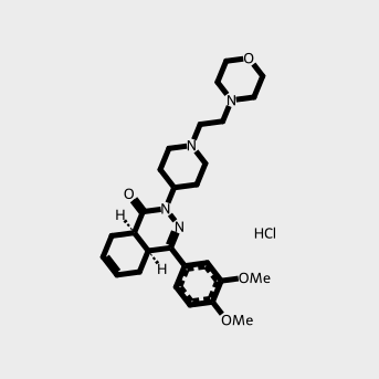 COc1ccc(C2=NN(C3CCN(CCN4CCOCC4)CC3)C(=O)[C@@H]3CC=CC[C@H]23)cc1OC.Cl